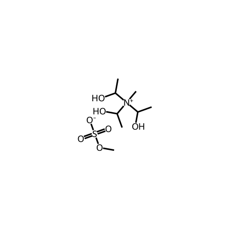 CC(O)[N+](C)(C(C)O)C(C)O.COS(=O)(=O)[O-]